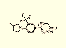 CC1CCN(c2ccc(C3=NNC(=O)CN3)cc2C(F)(F)F)C1